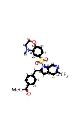 COC(=O)c1ccc(Cc2cc3cc(C(F)(F)F)ncc3n2S(=O)(=O)c2ccc3c(c2)N(C)CCO3)cc1